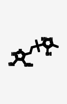 COc1c(CCC(C)(C)c2[nH]nc(C)c2O)n[nH]c1C(C)(C)C